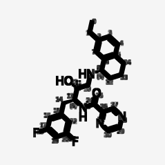 CCc1ccc2c(c1)[C@@H](NC[C@@H](O)[C@H](Cc1cc(F)cc(F)c1)NC(=O)c1cnccn1)CCC2